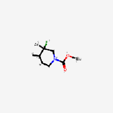 CC(=O)C1(F)CN(C(=O)OC(C)(C)C)CCC1C